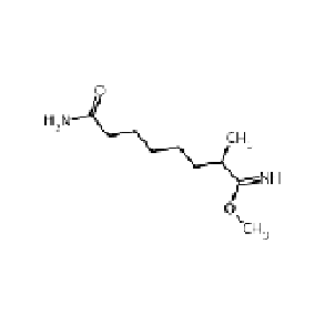 COC(=N)C(C)CCCCCC(N)=O